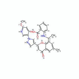 COc1ccc(-n2cc(-c3cc(=O)c4cc(C)cc(C(C)Nc5ccccc5C(=O)O)c4o3)cn2)cn1